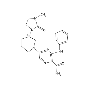 CN1CCN([C@H]2CCCN(c3cnc(C(N)=O)c(Nc4ccccc4)n3)C2)C1=O